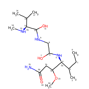 CCC(C)[C@H](NC(O)CNC(O)[C@@H](NC)C(C)C)C(CC(N)=O)OC